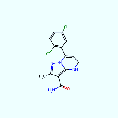 Cc1nn2c(c1C(N)=O)NCC=C2c1cc(Cl)ccc1Cl